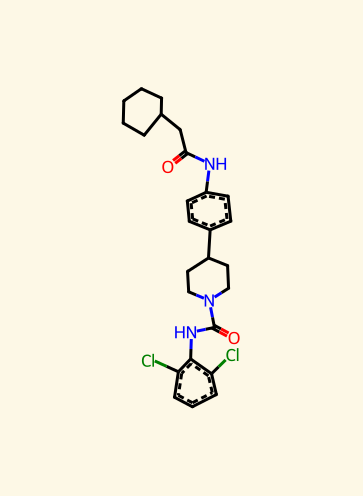 O=C(CC1CCCCC1)Nc1ccc(C2CCN(C(=O)Nc3c(Cl)cccc3Cl)CC2)cc1